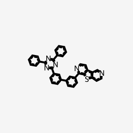 c1ccc(-c2nc(-c3ccccc3)nc(-c3cccc(-c4cccc(-c5nccc6c5sc5ccncc56)c4)c3)n2)cc1